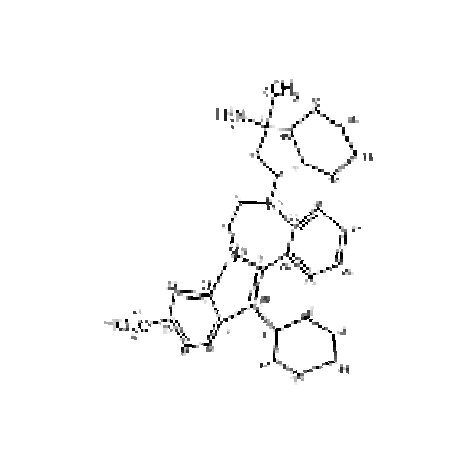 CC(N)(CCN1CCn2c(c(C3CCCCC3)c3ccc(C(=O)O)cc32)-c2ccccc21)C1CCCCC1